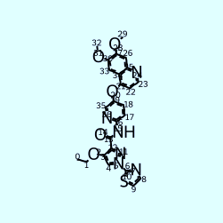 CCOc1cn(-c2nccs2)nc1C(=O)Nc1ccc(Oc2ccnc3cc(OC)c(OC)cc23)cn1